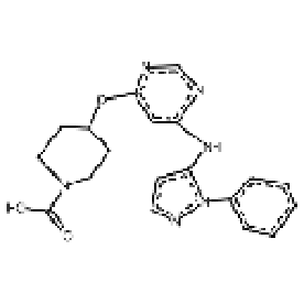 O=C(O)N1CCC(Oc2cc(Nc3ccnn3-c3ccccc3)ncn2)CC1